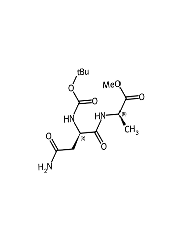 COC(=O)[C@@H](C)NC(=O)[C@@H](CC(N)=O)NC(=O)OC(C)(C)C